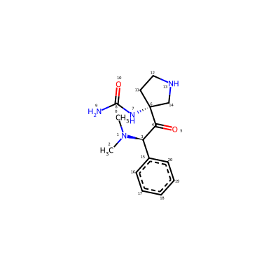 CN(C)[C@@H](C(=O)[C@@]1(NC(N)=O)CCNC1)c1ccccc1